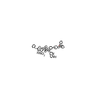 CC(C)c1ccccc1[C@@H]1CCCN1C1CC2(CCN(c3ccc(C(=O)NS(=O)(=O)c4cc([N+](=O)[O-])c5c(n4)OC[C@@H](Cc4ccccc4)N5)c(Oc4cnc5[nH]ccc5c4)c3)CC2)C1